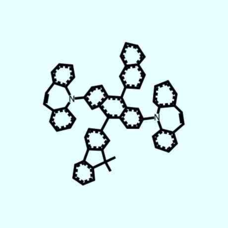 CC1(C)c2ccccc2-c2ccc(-c3c4ccc(N5c6ccccc6C=Cc6ccccc65)cc4c(-c4ccc5ccccc5c4)c4ccc(N5c6ccccc6C=Cc6ccccc65)cc34)cc21